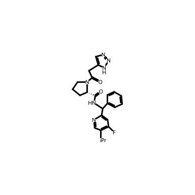 CC(C)c1cnc(C(NC(=O)[C@@H]2CCCN2C(=O)Cc2cnn[nH]2)c2ccccc2)cc1F